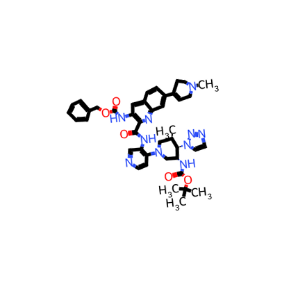 C[C@H]1CN(c2ccncc2NC(=O)c2nc3cc(C4=CCN(C)CC4)ccc3cc2NC(=O)OCc2ccccc2)C[C@@H](NC(=O)OC(C)(C)C)[C@H]1n1ccnn1